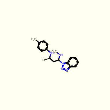 CC[C@H](CC(NC(=O)O)n1nnc2ccccc21)Nc1ccc(C(F)(F)F)cc1